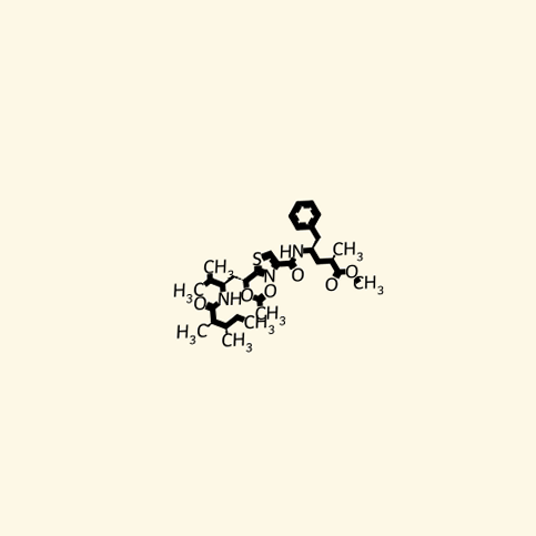 CC[C@H](C)[C@H](C)C(=O)N[C@H](C[C@@H](OC(C)=O)c1nc(C(=O)N[C@@H](Cc2ccccc2)C[C@H](C)C(=O)OC)cs1)C(C)C